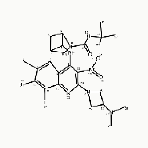 Cc1cc2c(NC3C4CC3N(C(=O)OC(C)(C)C)C4)c([N+](=O)[O-])c(N3CC(N(C)C)C3)nc2c(F)c1Br